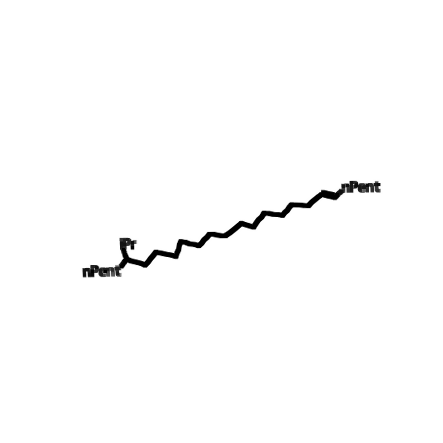 [CH2]CCCCC=CCCCCCCCCCCCCCC(CCCC[CH2])C(C)C